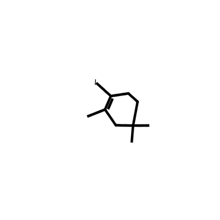 CC1=C(I)CCC(C)(C)C1